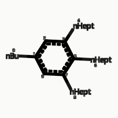 [CH2]CCCc1cc(CCCCCCC)c(CCCCCCC)c(CCCCCCC)c1